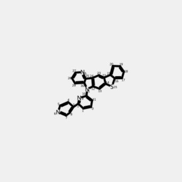 c1cc(-c2ccncc2)nc(-n2c3cc4sc5ccccc5c4cc3c3ncccc32)c1